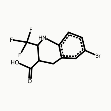 O=C(O)C1Cc2cc(Br)ccc2NC1C(F)(F)F